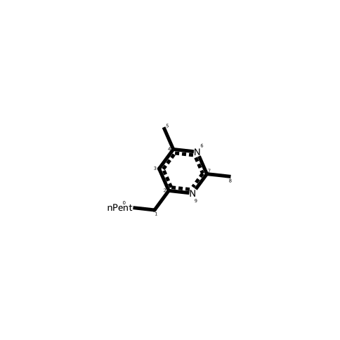 CCCCCCc1cc(C)nc(C)n1